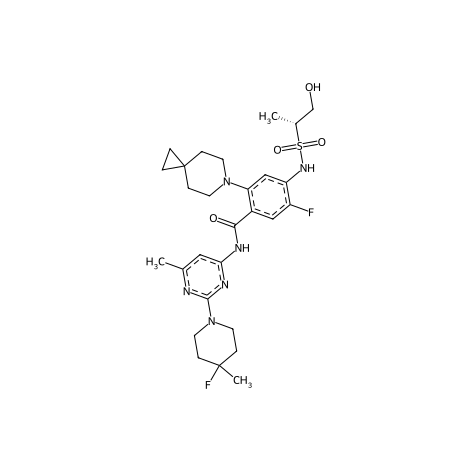 Cc1cc(NC(=O)c2cc(F)c(NS(=O)(=O)[C@H](C)CO)cc2N2CCC3(CC2)CC3)nc(N2CCC(C)(F)CC2)n1